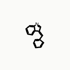 C1=Nc2ccccc2/C1=C\c1ccccc1